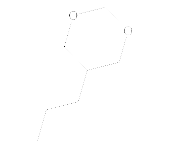 CCCC1CO[CH]OC1